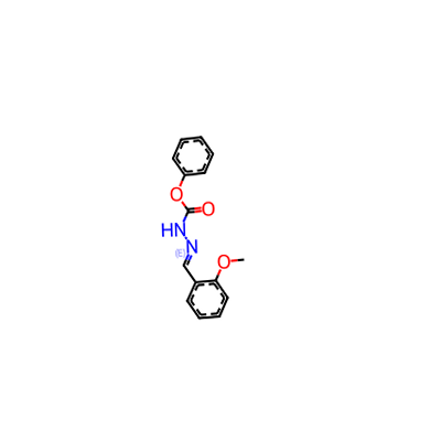 COc1ccccc1/C=N/NC(=O)Oc1ccccc1